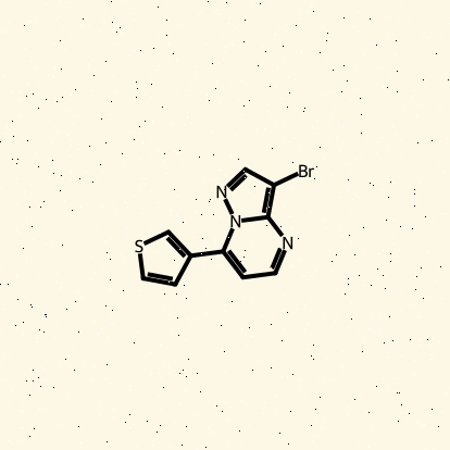 Brc1cnn2c(-c3ccsc3)ccnc12